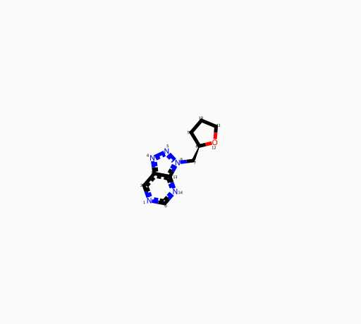 c1ncc2nnn(C[C@H]3CCCO3)c2n1